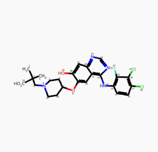 CC(C)(CN1CCC(Oc2cc3c(Nc4ccc(Cl)c(Cl)c4F)ncnc3cc2O)CC1)C(=O)O